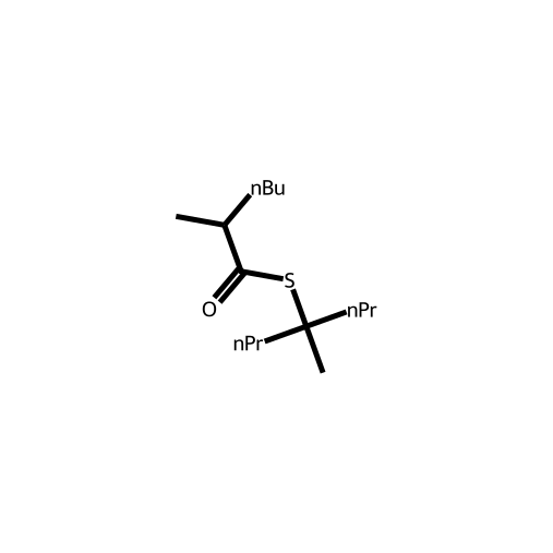 CCCCC(C)C(=O)SC(C)(CCC)CCC